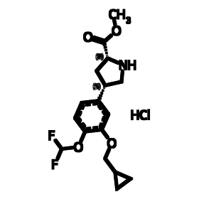 COC(=O)[C@H]1C[C@@H](c2ccc(OC(F)F)c(OCC3CC3)c2)CN1.Cl